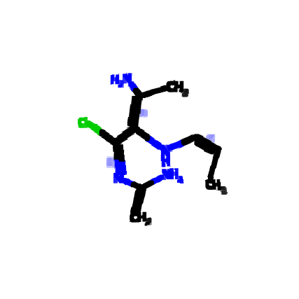 C=C(N)/N=C(Cl)\C(N/C=C\C)=C(\C)N